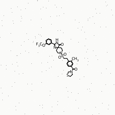 Cc1cc(C(=O)N2CCSC2)ccc1CCS(=O)(=O)N1CCC2(CC1)N=C(c1cccc(OC(F)(F)F)c1)NC2=O